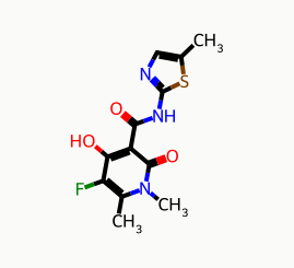 Cc1cnc(NC(=O)c2c(O)c(F)c(C)n(C)c2=O)s1